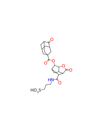 O=C1C2CC3CC1CC(C(=O)OC1C4CC5C1OC(=O)C5C4C(=O)NCCCS(=O)(=O)O)(C3)C2